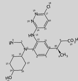 CC(C)CN(c1ccc([C@H](C)CC(=O)O)cc1Nc1ccc(Cl)nn1)C1CCC(O)CC1